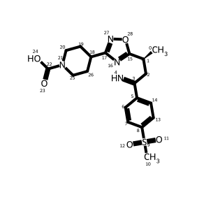 C[C@@H](CC(=N)c1ccc(S(C)(=O)=O)cc1)c1nc(C2CCN(C(=O)O)CC2)no1